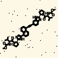 COC(=O)N[C@H](C(=O)N1CCC[C@H]1c1ncc(-c2cccc3c(C#Cc4ccc5nc([C@@H]6CCCN6C(=O)[C@@H](NC(=O)OC)C(C)C)[nH]c5c4)cccc23)[nH]1)C(C)C